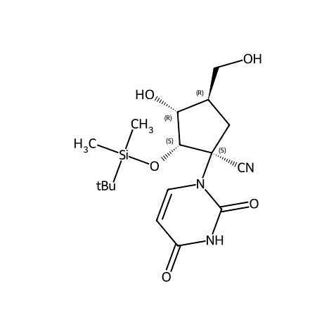 CC(C)(C)[Si](C)(C)O[C@@H]1[C@H](O)[C@@H](CO)C[C@@]1(C#N)n1ccc(=O)[nH]c1=O